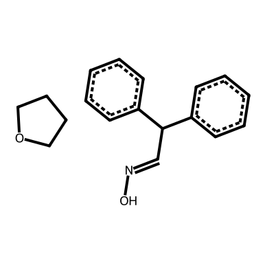 C1CCOC1.ON=CC(c1ccccc1)c1ccccc1